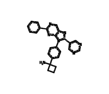 NC1(c2ccc(-n3c(-c4cncnc4)nc4cnc(-c5ccccc5)nc43)cc2)CCC1